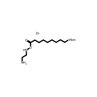 CCCCCCCCCCCCCCCCCC(=O)ONCCN.[Zn]